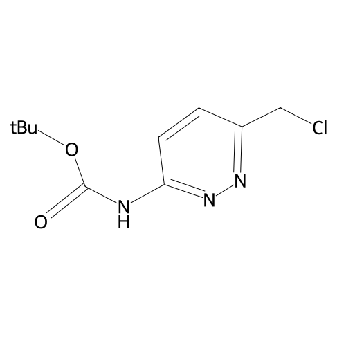 CC(C)(C)OC(=O)Nc1ccc(CCl)nn1